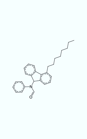 CCCCCCCCc1cccc2c1-c1ccccc1C2N(C=O)c1ccccc1